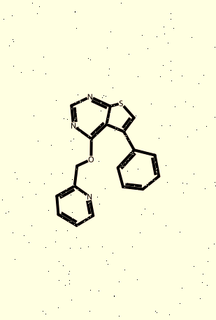 c1ccc(-c2csc3ncnc(OCc4ccccn4)c23)cc1